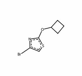 Brc1csc(OC2CCC2)n1